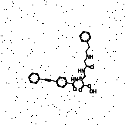 O=C(CNCCc1ccccc1)NC[C@H](NC(=O)c1ccc(C#Cc2ccccc2)cc1)C(=O)OO